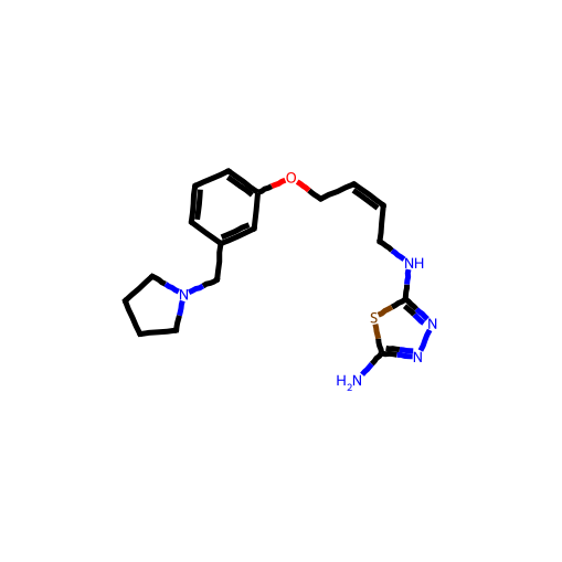 Nc1nnc(NC/C=C\COc2cccc(CN3CCCC3)c2)s1